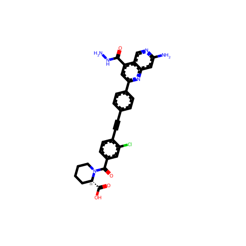 NNC(=O)c1cc(-c2ccc(C#Cc3ccc(C(=O)N4CCCC[C@H]4C(=O)O)cc3Cl)cc2)nc2cc(N)ncc12